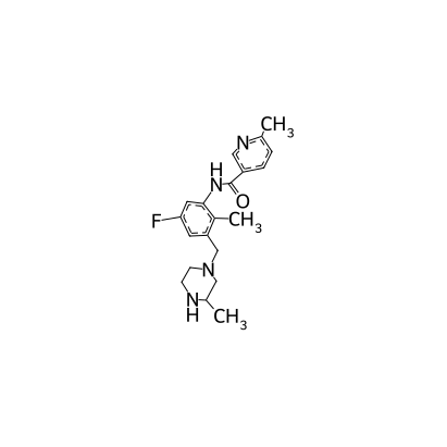 Cc1ccc(C(=O)Nc2cc(F)cc(CN3CCNC(C)C3)c2C)cn1